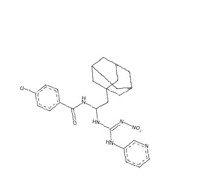 O=C(NC(CC12CC3CC(CC(C3)C1)C2)N/C(=N/[N+](=O)[O-])Nc1cccnc1)c1ccc(Cl)cc1